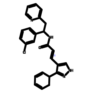 O=C(/C=C/c1c[nH]nc1C1C=CC=CC1)NC(Cc1ccccn1)c1cccc(Cl)c1